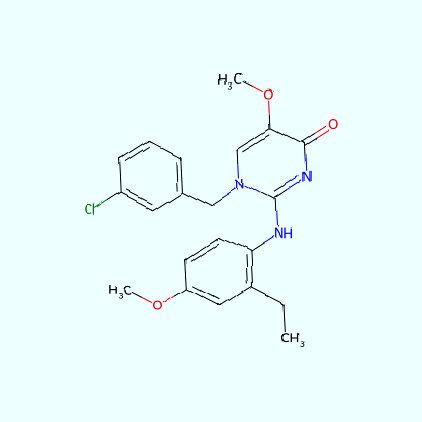 CCc1cc(OC)ccc1Nc1nc(=O)c(OC)cn1Cc1cccc(Cl)c1